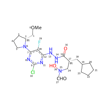 COC[C@H]1CCCN1c1nc(Cl)nc(NNC(=O)[C@H](CC2CCCC2)CN(O)C=O)c1F